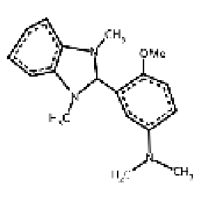 COc1ccc(N(C)C)cc1C1N(C)c2ccccc2N1C